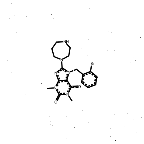 Cn1c(=O)c2c(nc(N3CCCNCC3)n2Cc2ccccc2Br)n(C)c1=O